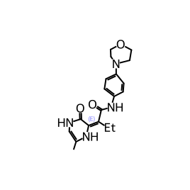 CC/C(C(=O)Nc1ccc(N2CCOCC2)cc1)=C1\NC(C)=CNC1=O